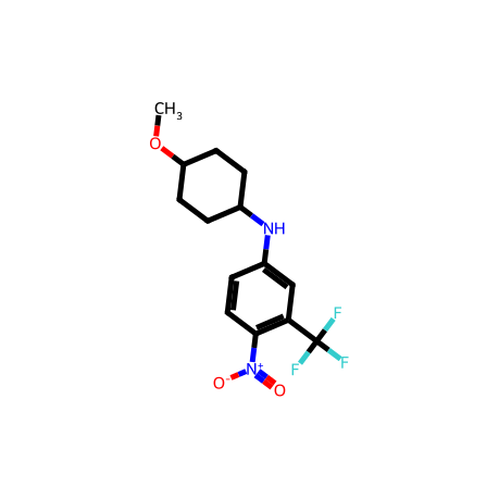 COC1CCC(Nc2ccc([N+](=O)[O-])c(C(F)(F)F)c2)CC1